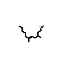 CCCCCC(C)=CCC(C)CCO